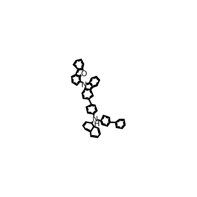 C1=CC2=CC=CC(N(c3ccc(-c4ccccc4)cc3)c3ccc(-c4ccc5c(c4)c4ccccc4n5-c4cccc5c4oc4ccccc45)cc3)[C@@H]2C=C1